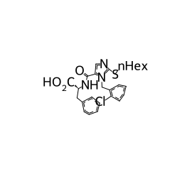 CCCCCCSc1ncc(C(=O)N[C@@H](Cc2ccccc2)C(=O)O)n1Cc1ccccc1Cl